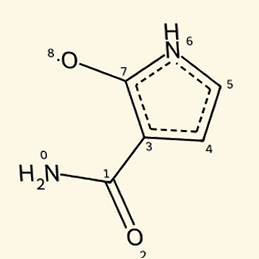 NC(=O)c1cc[nH]c1[O]